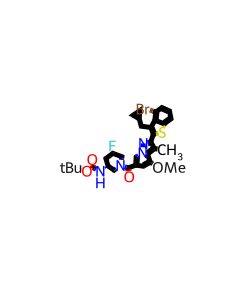 COc1cc(C(=O)N2C[C@H](F)C[C@@H](NC(=O)OC(C)(C)C)C2)cn2nc(-c3sc4cccc(Br)c4c3CC3CC3)c(C)c12